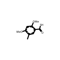 COc1cc(OC)c(C(=O)S)cc1C